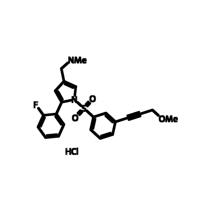 CNCc1cc(-c2ccccc2F)n(S(=O)(=O)c2cccc(C#CCOC)c2)c1.Cl